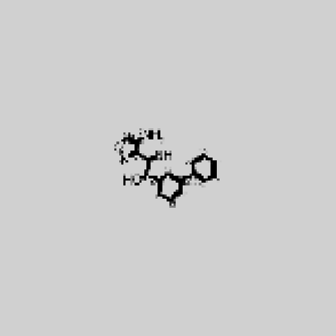 N=C(c1nonc1N)N(O)c1cccc(-c2ccccc2)c1